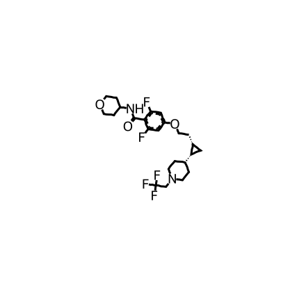 O=C(NC1CCOCC1)c1c(F)cc(OCC[C@@H]2C[C@@H]2C2CCN(CC(F)(F)F)CC2)cc1F